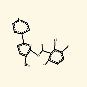 CC(Oc1nc(-c2ccncc2)cnc1N)c1c(Cl)ccc(F)c1Cl